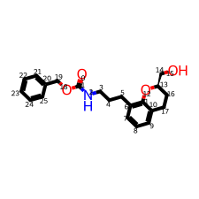 O=C(NCCCc1cccc2c1O[C@@H](CO)CC2)OCc1ccccc1